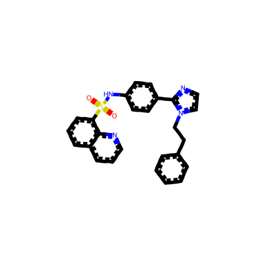 O=S(=O)(Nc1ccc(-c2nccn2CCc2ccccc2)cc1)c1cccc2cccnc12